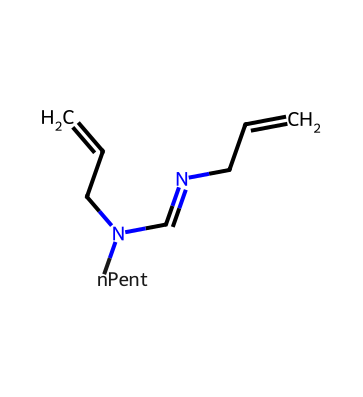 C=CCN=CN(CC=C)CCCCC